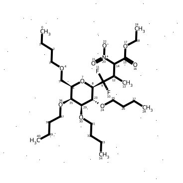 CCCCOC[C@H]1O[C@@H](C(F)(F)C(C)C(C(=O)OCC)[N+](=O)[O-])[C@H](OCCCC)[C@@H](OCCCC)[C@H]1OCCCC